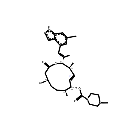 C/C(=C\c1cc(C)cc2[nH]ncc12)[C@H]1OC(=O)C[C@H](O)CC[C@H](C)[C@@H](OC(=O)N2CCN(C)CC2)/C=C/[C@@H]1C